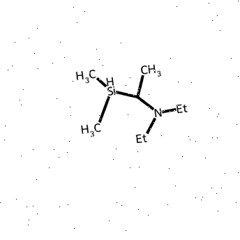 CCN(CC)C(C)[SiH](C)C